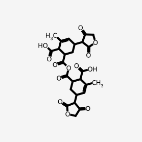 CC1=CC(C2C(=O)COC2=O)CC(C(=O)OC(=O)C2CC(C3C(=O)COC3=O)C=C(C)C2C(=O)O)C1C(=O)O